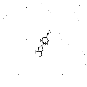 CCC1CN(c2ncc(C#N)cn2)CC1I